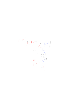 C=CC.C[N+](C)(C)CC(O)CC(=O)O.C[N+](C)(C)CCO.NCC(=O)O.OCC(O)CO.OCCO